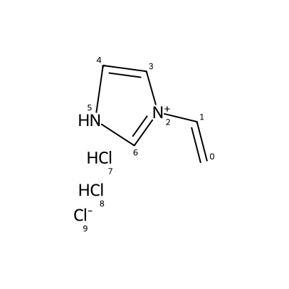 C=C[n+]1cc[nH]c1.Cl.Cl.[Cl-]